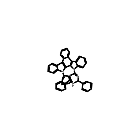 c1ccc(C2=NC(n3c4ccccc4c4c5ccccc5c5c6ccccc6n(-c6ccccc6)c5c43)=NC(c3ccccc3)N2)cc1